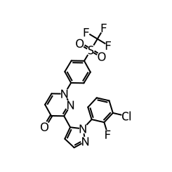 O=c1ccn(-c2ccc(S(=O)(=O)C(F)(F)F)cc2)nc1-c1ccnn1-c1cccc(Cl)c1F